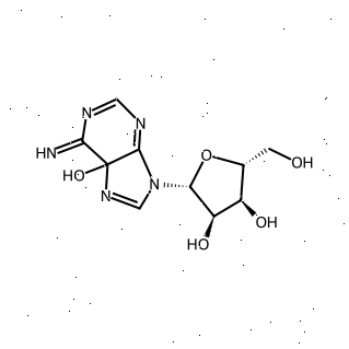 N=C1N=CN=C2N([C@@H]3O[C@H](CO)[C@@H](O)[C@H]3O)C=NC12O